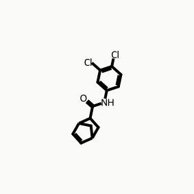 O=C(Nc1ccc(Cl)c(Cl)c1)C1CC2C=CC1C2